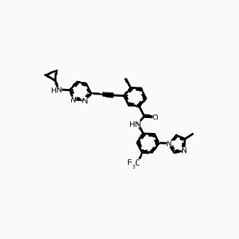 Cc1cn(-c2cc(NC(=O)c3ccc(C)c(C#Cc4ccc(NC5CC5)nn4)c3)cc(C(F)(F)F)c2)cn1